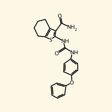 NC(=O)c1c(NC(=O)Nc2ccc(Oc3ccccc3)cc2)sc2c1CCCC2